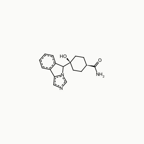 NC(=O)[C@H]1CC[C@](O)(C2c3ccccc3-c3cncn32)CC1